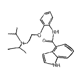 CC(C)N(CCOc1ccccc1NC(=O)c1cccc2[nH]ccc12)C(C)C